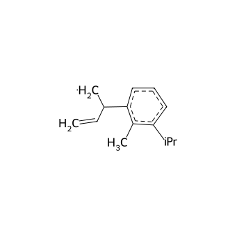 [CH2]C(C=C)c1cccc(C(C)C)c1C